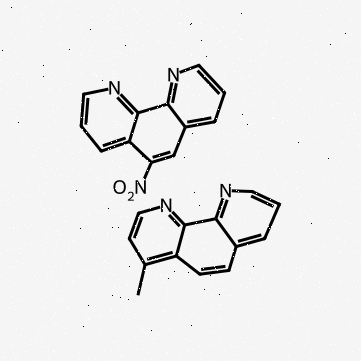 Cc1ccnc2c1ccc1cccnc12.O=[N+]([O-])c1cc2cccnc2c2ncccc12